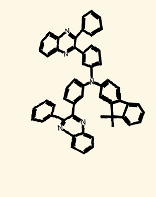 CC1(C)c2ccccc2-c2ccc(N(c3cccc(-c4nc5ccccc5nc4-c4ccccc4)c3)c3cccc(-c4nc5ccccc5nc4-c4ccccc4)c3)cc21